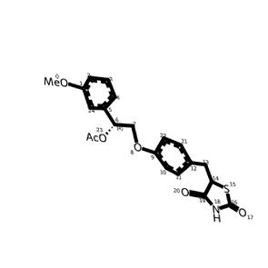 COc1cccc([C@H](COc2ccc(CC3SC(=O)NC3=O)cc2)OC(C)=O)c1